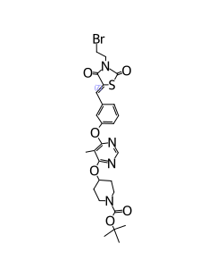 Cc1c(Oc2cccc(/C=C3\SC(=O)N(CCBr)C3=O)c2)ncnc1OC1CCN(C(=O)OC(C)(C)C)CC1